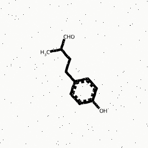 CC(C=O)CCc1ccc(O)cc1